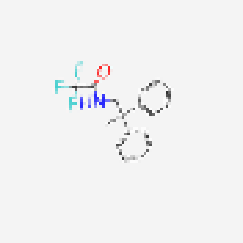 CC(CNC(=O)C(F)(F)F)(c1ccccc1)c1ccccc1